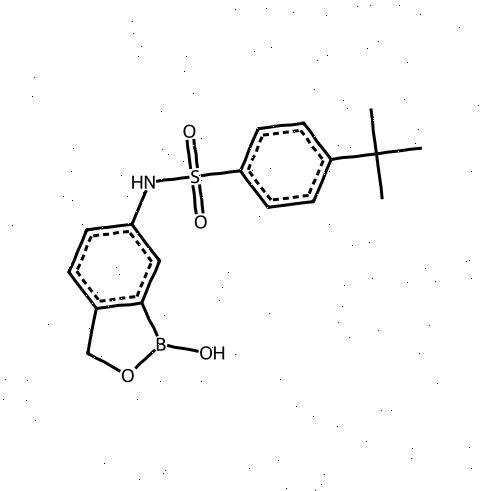 CC(C)(C)c1ccc(S(=O)(=O)Nc2ccc3c(c2)B(O)OC3)cc1